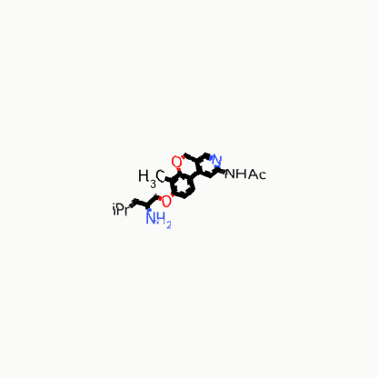 CC(=O)Nc1cc2c(cn1)COc1c-2ccc(OCC(N)CC(C)C)c1C